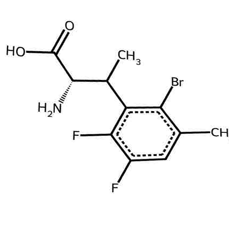 Cc1cc(F)c(F)c(C(C)[C@H](N)C(=O)O)c1Br